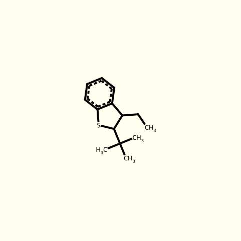 CCC1c2ccccc2SC1C(C)(C)C